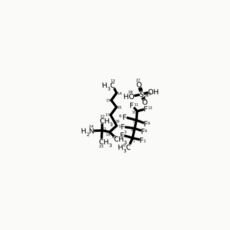 CC(F)(F)C(F)(F)C(F)(F)C(F)F.CCCCCCC(C)C(C)(C)N.O=S(=O)(O)O